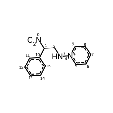 O=[N+]([O-])C(CN[n+]1ccccc1)c1ccccc1